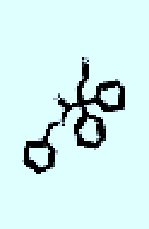 O=CCC(C(=O)OCc1ccccc1)(c1ccccc1)c1ccccc1